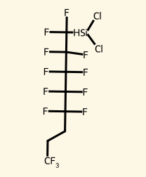 FC(F)(F)CCC(F)(F)C(F)(F)C(F)(F)C(F)(F)C(F)(F)[SiH](Cl)Cl